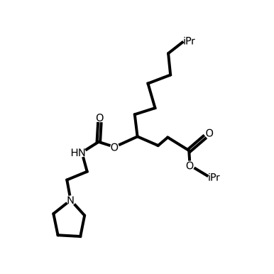 [CH2]C([CH2])OC(=O)CCC(CCCCCC(C)C)OC(=O)NCCN1CCCC1